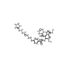 CCc1nc2c(cnn2CC)c(NC2CCOCC2)c1CNC(=O)c1ccc(CCCCOCCCCN2CCCC2)cc1